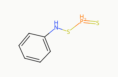 S=[PH2]SNc1ccccc1